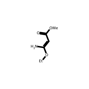 CCO/C(N)=C/C(=O)OC